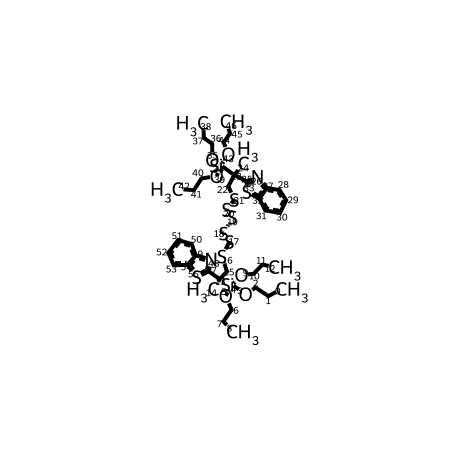 CCCO[Si](OCCC)(OCCC)C(C)(CSSSSSSCC(C)(c1nc2ccccc2s1)[Si](OCCC)(OCCC)OCCC)c1nc2ccccc2s1